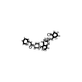 O=C(Cc1ccccn1)N1CCN(c2nccc3nc(NCc4ccccc4Cl)ncc23)CC1